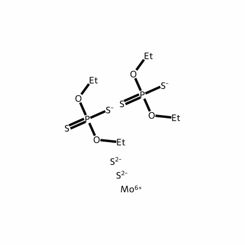 CCOP(=S)([S-])OCC.CCOP(=S)([S-])OCC.[Mo+6].[S-2].[S-2]